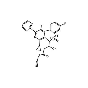 C#COC(=O)CC(O)C(c1c(C2CC2)nc(-c2ccccc2)c(C)c1-c1ccc(F)cc1)[PH](=O)O